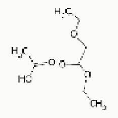 CC(=O)O.CCOCC(=O)OCC